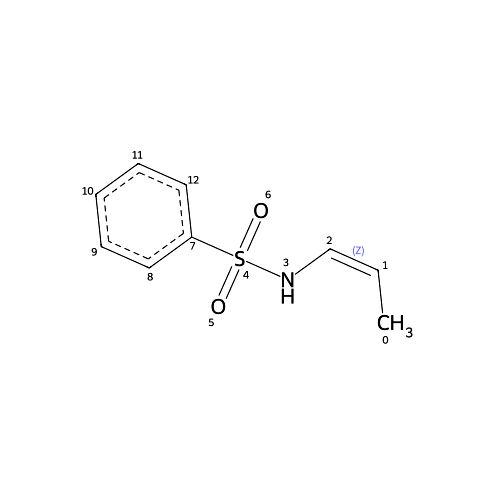 C/C=C\NS(=O)(=O)c1ccccc1